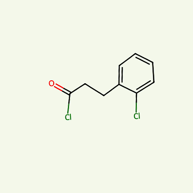 O=C(Cl)CCc1ccccc1Cl